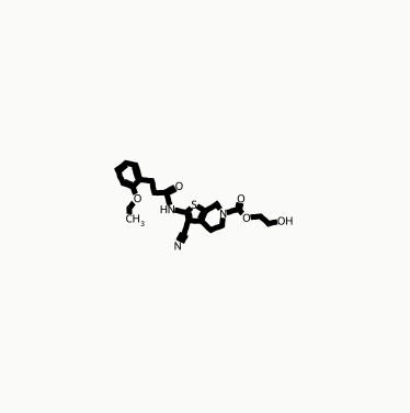 CCOc1ccccc1CCC(=O)Nc1sc2c(c1C#N)CCN(C(=O)OCCO)C2